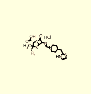 CC1(C)SC2C(N=CN3CCC(Cc4ncc[nH]4)CC3)C(=O)N2[C@H]1C(=O)O.Cl